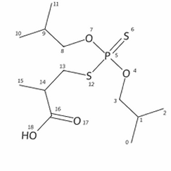 CC(C)COP(=S)(OCC(C)C)SCC(C)C(=O)O